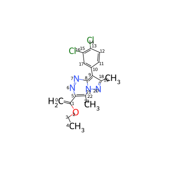 C=C(OCC)c1nnc2c(-c3ccc(Cl)c(Cl)c3)c(C)nn2c1C